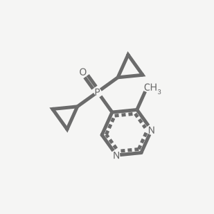 Cc1ncncc1P(=O)(C1CC1)C1CC1